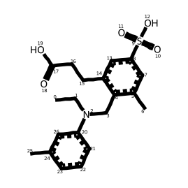 CCN(Cc1c(C)cc(S(=O)(=O)O)cc1CCC(=O)O)c1cccc(C)c1